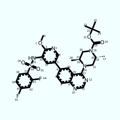 COc1ncc(-c2ccc3ncnc(N4C[C@@H](C)N(C(=O)OC(C)(C)C)C[C@@H]4C)c3c2)cc1NS(=O)(=O)c1ccc(F)cc1F